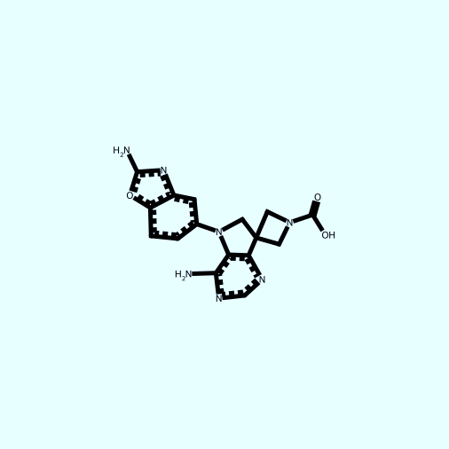 Nc1nc2cc(N3CC4(CN(C(=O)O)C4)c4ncnc(N)c43)ccc2o1